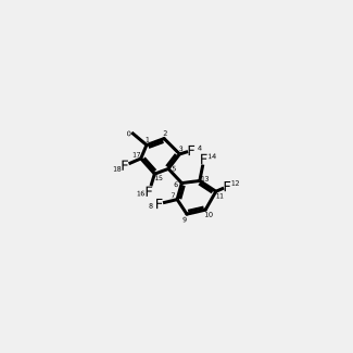 Cc1cc(F)c(-c2c(F)ccc(F)c2F)c(F)c1F